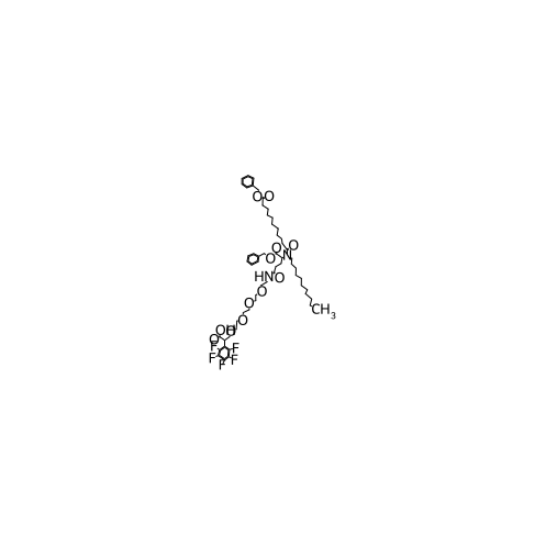 CCCCCCCCCCCN(C(=O)CCCCCCCCCC(=O)OCc1ccccc1)C(CCC(=O)NCCOCCOCCOCCOCC(C(=O)O)c1c(F)c(F)c(F)c(F)c1F)C(=O)OCc1ccccc1